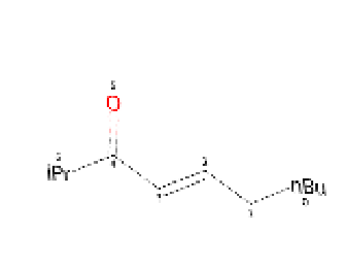 CCCCCC=CC(=O)C(C)C